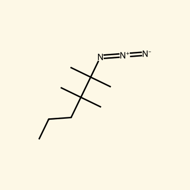 CCCC(C)(C)C(C)(C)N=[N+]=[N-]